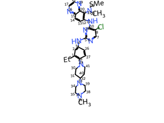 CCc1cc(Nc2ncc(Cl)c(Nc3ccc4nccnc4c3N(C)SC)n2)ccc1N1CCC(N2CCN(C)CC2)CC1